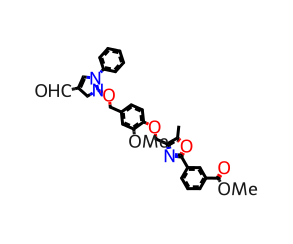 COC(=O)c1cccc(-c2nc(COc3ccc(CON4CC(C=O)=CN4c4ccccc4)cc3OC)c(C)o2)c1